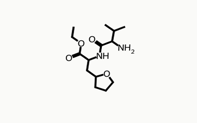 CCOC(=O)C(CC1CCCO1)NC(=O)C(N)C(C)C